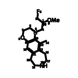 CO[C@H](CF)CN1CCOc2cc3c(c(C)c21)CCNCC3